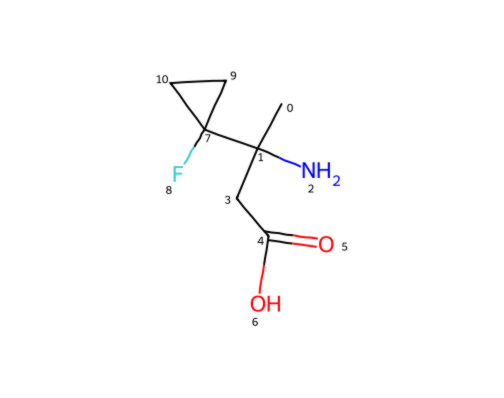 CC(N)(CC(=O)O)C1(F)CC1